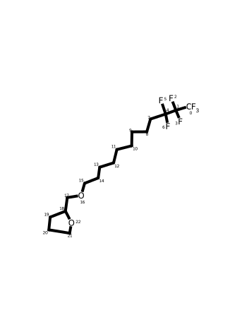 FC(F)(F)C(F)(F)C(F)(F)CCCCCCCCCOCC1CCCO1